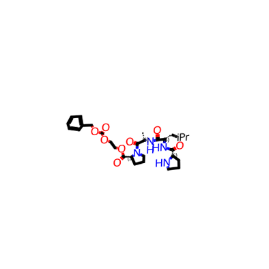 CC(C)C[C@H](NC(=O)[C@@H]1CCCN1)C(=O)N[C@@H](C)C(=O)N1CCC[C@H]1C(=O)OCCOC(=O)OCc1ccccc1